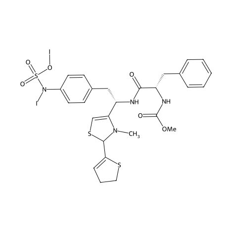 COC(=O)N[C@@H](Cc1ccccc1)C(=O)N[C@@H](Cc1ccc(N(I)S(=O)(=O)OI)cc1)C1=CSC(C2=CCCS2)N1C